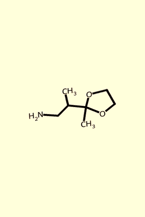 CC(CN)C1(C)OCCO1